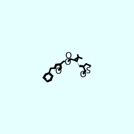 CC1(C)C(C(=O)OCc2coc(Cc3ccccc3)c2)[C@H]1/C=C1\CCSC1=O